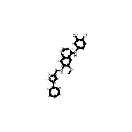 COc1cc2c(Nc3ccc(Cl)c(Cl)c3)ncnc2cc1OCc1cc(-c2ccccc2)no1